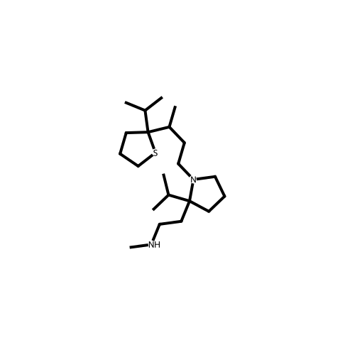 CNCCC1(C(C)C)CCCN1CCC(C)C1(C(C)C)CCCS1